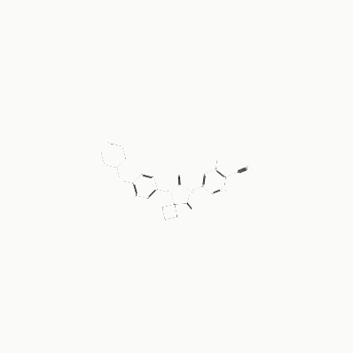 N#Cc1ncc(N2C(=O)C3(CCC3)N(c3ccc(OC4CCNCC4)c(F)c3)C2=S)cc1Cl